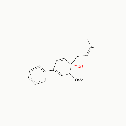 COC1C=C(c2ccccc2)C=CC1(O)CC=C(C)C